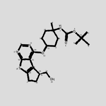 CC1(NC(=O)OC(C)(C)C)CCC(Oc2ncnc3sc4c(c23)[C@@H](CO)CC4)CC1